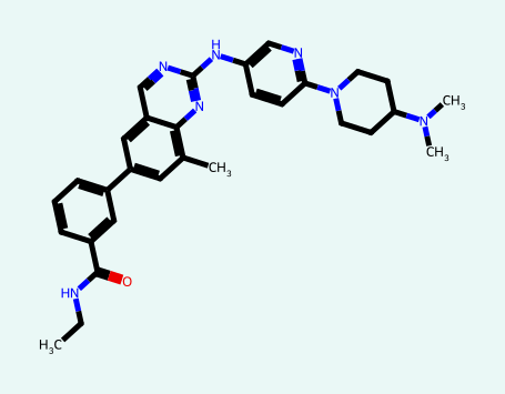 CCNC(=O)c1cccc(-c2cc(C)c3nc(Nc4ccc(N5CCC(N(C)C)CC5)nc4)ncc3c2)c1